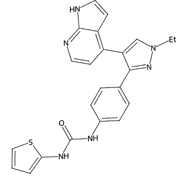 CCn1cc(-c2ccnc3[nH]ccc23)c(-c2ccc(NC(=O)Nc3cccs3)cc2)n1